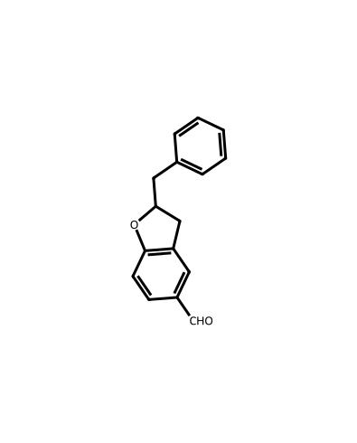 O=Cc1ccc2c(c1)CC(Cc1ccccc1)O2